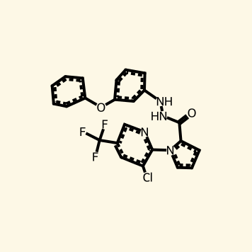 O=C(NNc1cccc(Oc2ccccc2)c1)c1cccn1-c1ncc(C(F)(F)F)cc1Cl